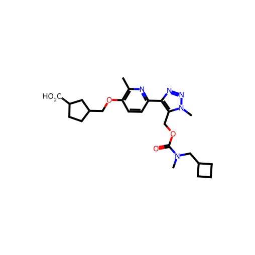 Cc1nc(-c2nnn(C)c2COC(=O)N(C)CC2CCC2)ccc1OCC1CCC(C(=O)O)C1